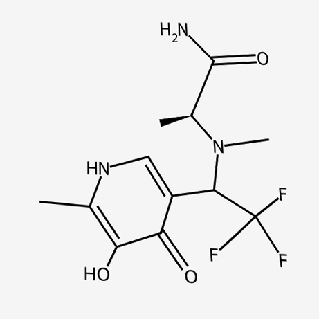 Cc1[nH]cc(C(N(C)[C@@H](C)C(N)=O)C(F)(F)F)c(=O)c1O